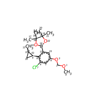 COCOc1cc(Cl)c([C@H]2C[C@H]2C)c(B2OC(C)(C)C(C)(C)O2)c1